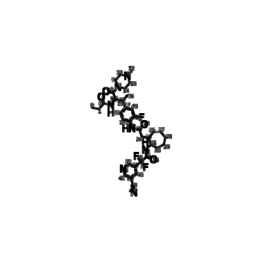 CCC(=O)N[C@@H](C(=O)N1CCN(C)CC1)[C@@H](C)c1ccc(NC(=O)CC2CCCCCC2NC(=O)C(F)(F)c2cncc(C#N)c2)c(F)c1